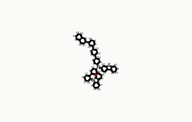 c1cc(-c2ccc(-c3ccc(N(c4ccc(-c5ccccc5-n5c6ccccc6c6ccccc65)cc4)c4ccc5c(c4)sc4ccccc45)cc3)cc2)cc(-c2ccc3ccccc3c2)c1